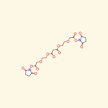 O=C(CC(=O)OCCOCC(=O)ON1C(=O)CCC1=O)OCCOCC(=O)ON1C(=O)CCC1=O